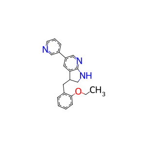 CCOc1ccccc1CC1CNc2ncc(-c3cccnc3)cc21